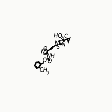 Cc1ccccc1COC(=O)Nc1cnoc1C#Cc1nc2sc(C3(C(=O)O)CC3)nc2s1